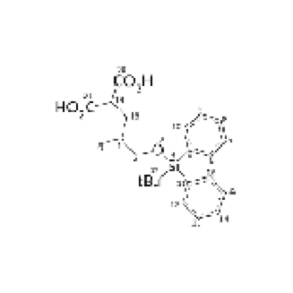 CC(CO[Si](c1ccccc1)(c1ccccc1)C(C)(C)C)CC(C(=O)O)C(=O)O